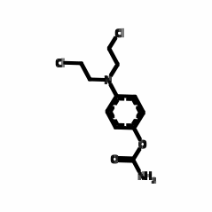 NC(=O)Oc1ccc(N(CCCl)CCCl)cc1